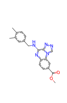 COC(=O)c1ccc2nc(NCc3ccc(C)c(C)c3)c3nncn3c2c1